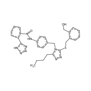 CCCCc1nnc(SCc2ccccc2CO)n1Cc1ccc(NC(=O)c2ccccc2-c2nnn[nH]2)cc1